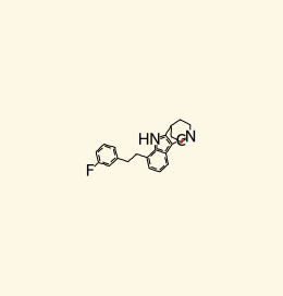 Fc1cccc(CCc2cccc3c4c([nH]c23)C2CCN(CC2)C4)c1